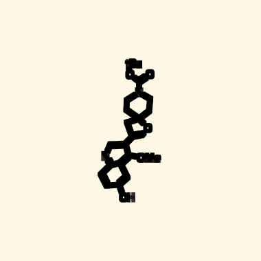 COc1c(C2=COC3(CCN(C(=O)OC(C)(C)C)CC3)C2)cnc2ccc(O)cc12